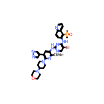 COc1nc(N2CCC(N3CCOCC3)CC2)c(-c2cnn(C)c2)cc1Nc1ncc(Br)c(Nc2ccc3ncccc3c2P(C)(C)=O)n1